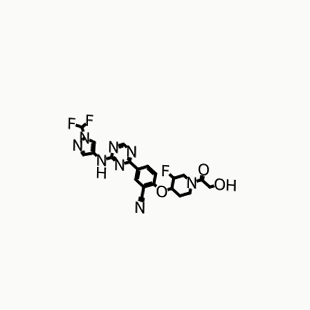 N#Cc1cc(-c2ncnc(Nc3cnn(C(F)F)c3)n2)ccc1OC1CCN(C(=O)CO)CC1F